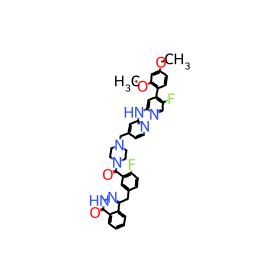 COc1ccc(-c2cc(Nc3cc(CN4CCN(C(=O)c5cc(Cc6n[nH]c(=O)c7ccccc67)ccc5F)CC4)ccn3)ncc2F)c(OC)c1